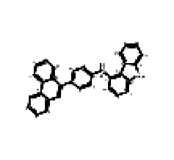 c1ccc2c(c1)cc(-c1ccc(Nc3cccc4oc5ccccc5c34)cc1)c1ccccc12